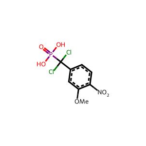 COc1cc(C(Cl)(Cl)P(=O)(O)O)ccc1[N+](=O)[O-]